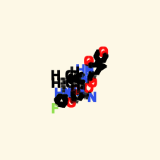 CC1(C)[C@@H]2[C@@H](C(=O)N[C@H](C#N)C[C@@H]3Oc4cc(F)ccc4NC3=O)N(C(=O)[C@H](CC3CC3)NC(=O)CC3CCOCC3)C[C@@H]21